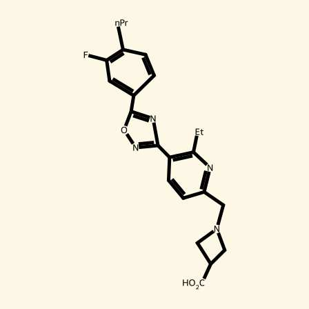 CCCc1ccc(-c2nc(-c3ccc(CN4CC(C(=O)O)C4)nc3CC)no2)cc1F